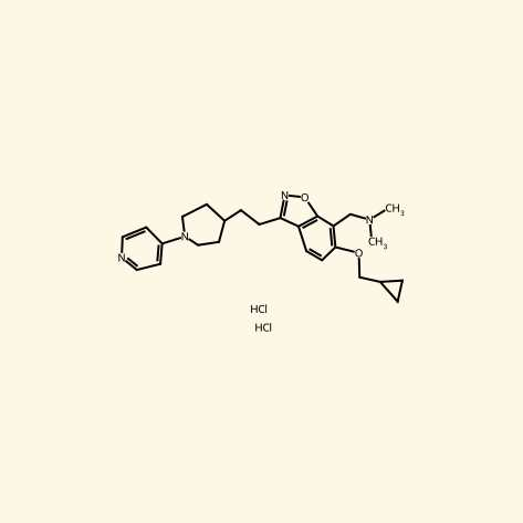 CN(C)Cc1c(OCC2CC2)ccc2c(CCC3CCN(c4ccncc4)CC3)noc12.Cl.Cl